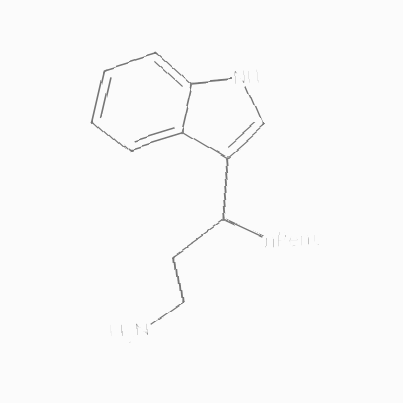 CCCCCC(CCN)c1c[nH]c2ccccc12